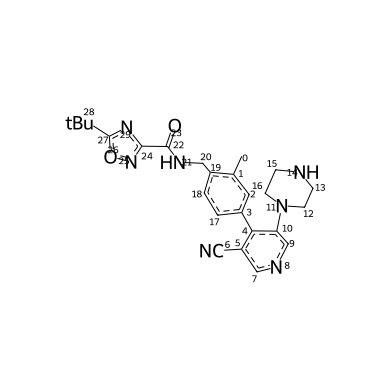 Cc1cc(-c2c(C#N)cncc2N2CCNCC2)ccc1CNC(=O)c1noc(C(C)(C)C)n1